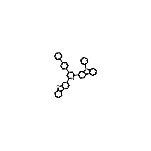 c1ccc(-c2ccc(-c3cc(-c4ccc5c(c4)oc4ccccc45)nc(-c4ccc5c6ccccc6n(-c6ccccc6)c5c4)c3)cc2)cc1